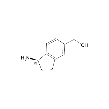 N[C@@H]1CCc2cc(CO)ccc21